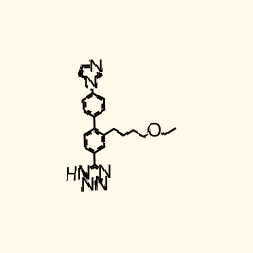 CCOCCCCc1cc(-c2nnn[nH]2)ccc1-c1ccc(-n2ccnc2)cc1